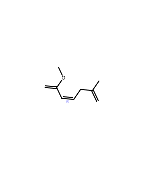 C=C(C)C/C=C\C(=C)OC